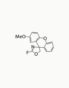 COc1ccc2c(c1)C1(COC(F)=N1)c1ccccc1O2